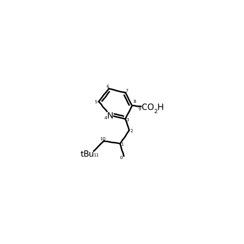 CC(Cc1ncccc1C(=O)O)CC(C)(C)C